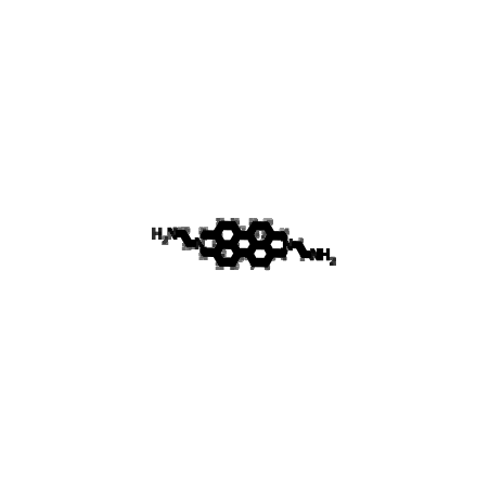 NCCN1C=c2ccc3c4ccc5c6c(ccc(c7ccc(c2c37)=C1)c64)=CN(CCN)C=5